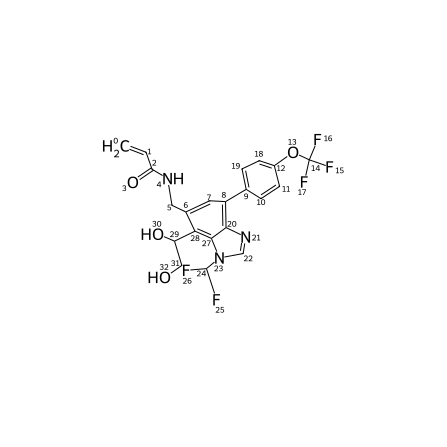 C=CC(=O)NCc1cc(-c2ccc(OC(F)(F)F)cc2)c2ncn(C(F)F)c2c1C(O)CO